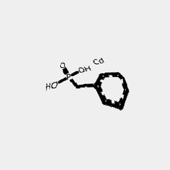 O=P(O)(O)Cc1ccccc1.[Cd]